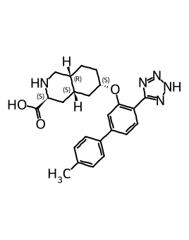 Cc1ccc(-c2ccc(-c3nn[nH]n3)c(O[C@H]3CC[C@H]4CN[C@H](C(=O)O)C[C@H]4C3)c2)cc1